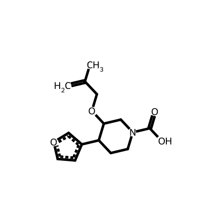 C=C(C)COC1CN(C(=O)O)CCC1c1ccoc1